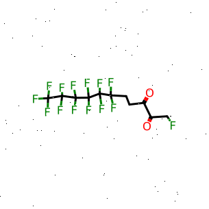 O=C([CH]F)C(=O)CCC(F)(F)C(F)(F)C(F)(F)C(F)(F)C(F)(F)C(F)(F)F